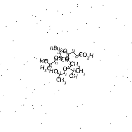 CC(O)COC(C)C(C)O.CCCCC(OC(=O)CCC(=O)O)C(C)OCC(C)O